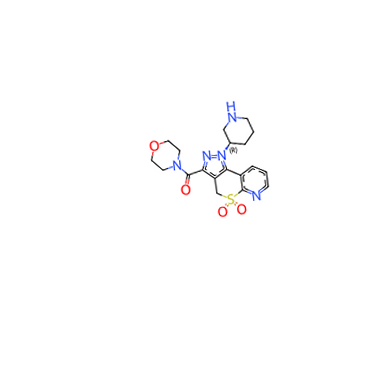 O=C(c1nn([C@@H]2CCCNC2)c2c1CS(=O)(=O)c1ncccc1-2)N1CCOCC1